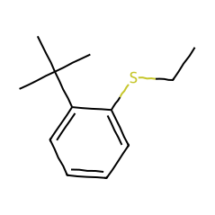 CCSc1ccccc1C(C)(C)C